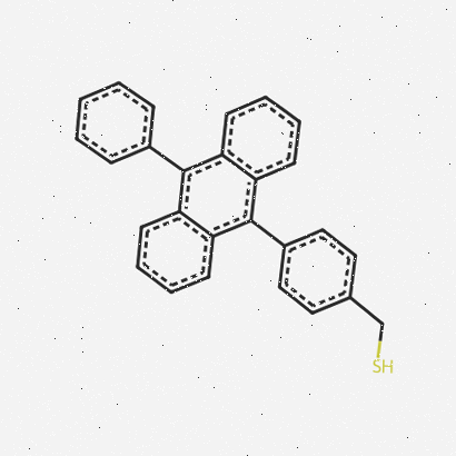 SCc1ccc(-c2c3ccccc3c(-c3ccccc3)c3ccccc23)cc1